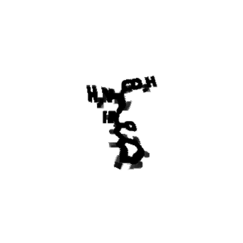 N[C@@H](CNC(=O)Cc1ccccc1)C(=O)O